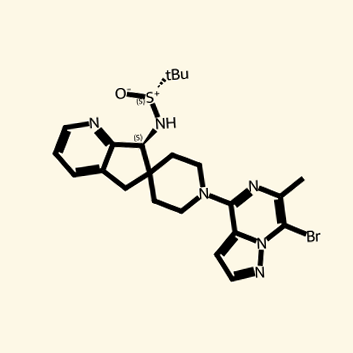 Cc1nc(N2CCC3(CC2)Cc2cccnc2[C@H]3N[S@+]([O-])C(C)(C)C)c2ccnn2c1Br